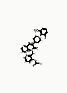 Cc1cccc(F)c1N1CCC(c2cc3nccnc3n(Cc3ncccc3OC(F)F)c2=O)CC1